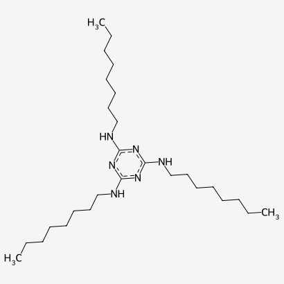 CCCCCCCCNc1nc(NCCCCCCCC)nc(NCCCCCCCC)n1